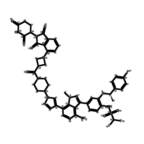 C[C@H](Oc1cc(-c2nn(C)c3c(-c4cnn(C5CCN(C(=O)C6CN(c7cccc8c7C(=O)N(C7CCC(=O)NC7=O)C8=O)C6)CC5)c4)cnc(N)c23)ccc1NS(=O)(=O)C(F)F)c1ccc(F)cc1